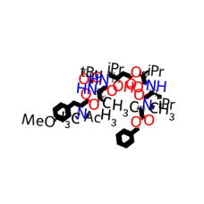 COc1ccc(CC(C(=O)O[C@H](C)[C@H](NC(=O)OC(C)(C)C)C(=O)N[C@H](C(C)C)[C@@H](O)CC(=O)O[C@H](C(=O)N[C@@H](CC(C)C)C(=O)N(C)[C@@H](C)C(=O)OCc2ccccc2)C(C)C)N(C)C(C)=O)cc1